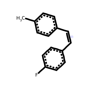 Cc1ccc(/C=C\c2ccc(F)cc2)cc1